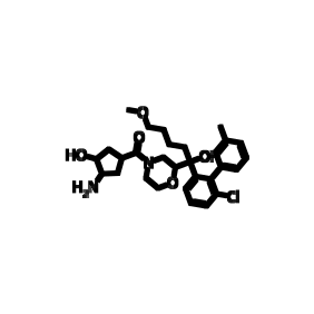 COCCCCC(O)(c1cccc(Cl)c1-c1cccc(C)c1)C1CN(C(=O)C2CC(N)C(O)C2)CCO1